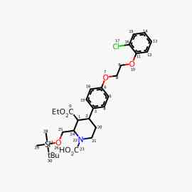 CCOC(=O)C1C(c2ccc(OCCOc3ccccc3Cl)cc2)CCN(C(=O)O)C1CO[Si](C)(C)C(C)(C)C